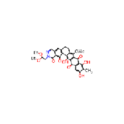 CCOC(Cn1ncc2cc3c(c(O)c2c1=O)-c1c(O)c2c(c(OC)c1CC3)C(=O)c1c(cc(O)c(C)c1O)C2=O)OCC